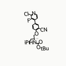 CC(C)C[C@@](C)(COc1ccc(-c2ccnc(Cl)c2F)cc1C#N)NC(=O)OC(C)(C)C